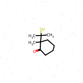 CC(C)(S)C1(C)CCCCC1=O